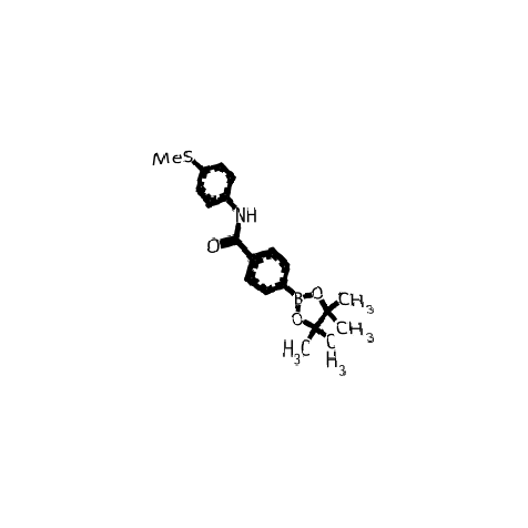 CSc1ccc(NC(=O)c2ccc(B3OC(C)(C)C(C)(C)O3)cc2)cc1